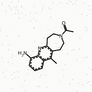 CC(=O)N1CCc2nc3c(N)cccc3c(C)c2CC1